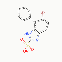 O=S(=O)(O)c1nc2ccc(Br)c(-c3ccccc3)c2[nH]1